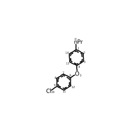 [CH2]CCc1ccc(Oc2ccc(Cl)cc2)cc1